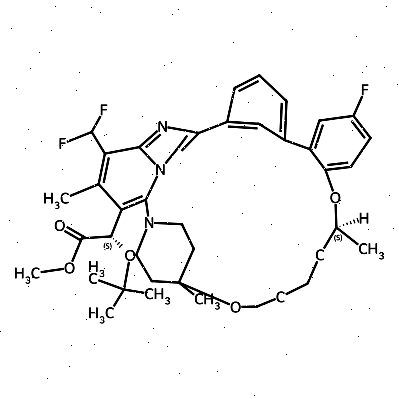 COC(=O)[C@@H](OC(C)(C)C)c1c(C)c(C(F)F)c2nc3cn2c1N1CCC(C)(CC1)OCCCC[C@H](C)Oc1ccc(F)cc1-c1cccc-3c1